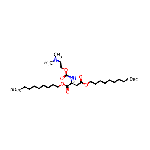 CCCCCCCCCCCCCCCCCCOC(=O)C[C@H](NC(=O)OCCN(C)C)C(=O)OCCCCCCCCCCCCCCCCCC